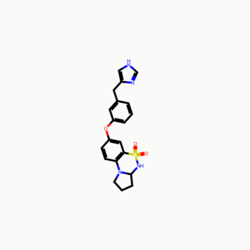 O=S1(=O)NC2CCCN2c2ccc(Oc3cccc(Cc4c[nH]cn4)c3)cc21